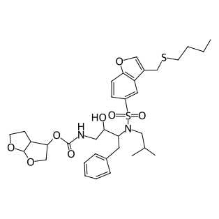 CCCCSCc1coc2ccc(S(=O)(=O)N(CC(C)C)C(Cc3ccccc3)C(O)CNC(=O)OC3COC4OCCC34)cc12